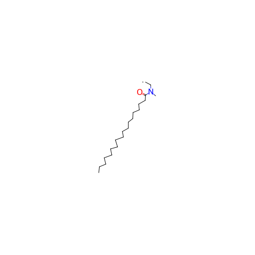 [CH2]CN(C)C(=O)CCCCCCCCCCCCCCCCC